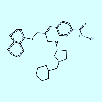 O=C(NO)c1ccc(/C=C(\CNC2CCN(CC3CCCCC3)C2)COc2cccc3ccccc23)cc1